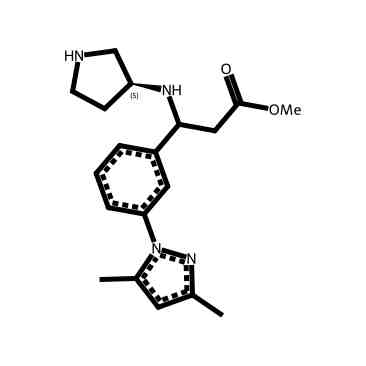 COC(=O)CC(N[C@H]1CCNC1)c1cccc(-n2nc(C)cc2C)c1